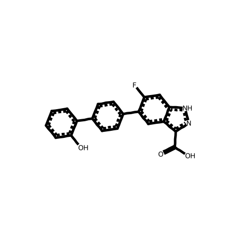 O=C(O)c1n[nH]c2cc(F)c(-c3ccc(-c4ccccc4O)cc3)cc12